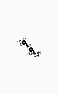 COc1cc(C=CC(=O)Oc2ccc(C[C@H](N)C(O)O)cc2)cc(OC)c1O